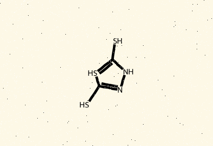 SC1=NNC(S)=[SH]1